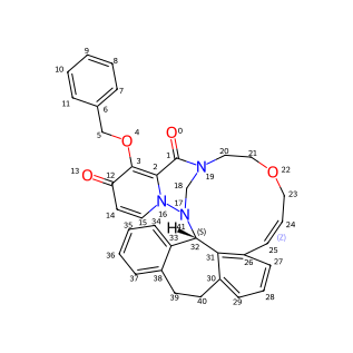 O=C1c2c(OCc3ccccc3)c(=O)ccn2N2CN1CCOC/C=C\c1cccc3c1[C@@H]2c1ccccc1CC3